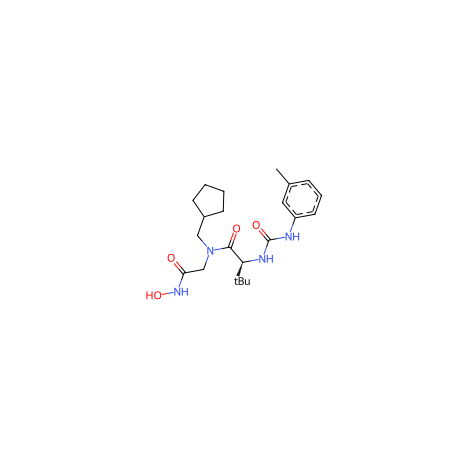 Cc1cccc(NC(=O)N[C@H](C(=O)N(CC(=O)NO)CC2CCCC2)C(C)(C)C)c1